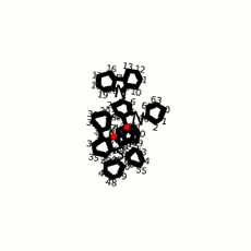 c1ccc(-n2c3cc(-n4c5ccccc5c5ccccc54)ccc3c3c(-n4c5ccccc5c5cccc([Si](c6ccccc6)(c6ccccc6)c6ccccc6)c54)cccc32)cc1